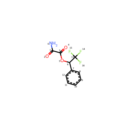 NC(=O)C(=O)OC(c1ccccc1)C(F)(F)F